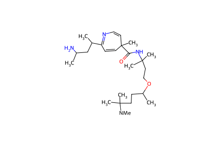 CNC(C)(C)CCC(C)OCCC(C)(C)NC(=O)C1(C)C=CN=C(C(C)CC(C)N)C=C1